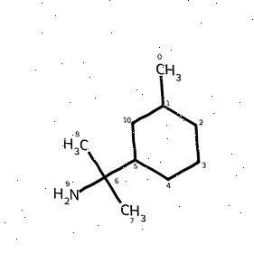 CC1CCCC(C(C)(C)N)C1